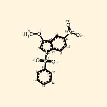 COc1cn(S(=O)(=O)c2ccccc2)c2ccc([N+](=O)[O-])cc12